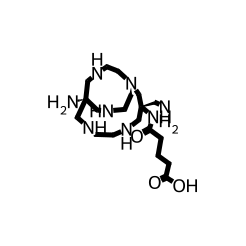 NC[C@@]1(NC(=O)CCCC(=O)O)CNCCNC[C@]2(N)CNCC[N@](CCNC2)C1